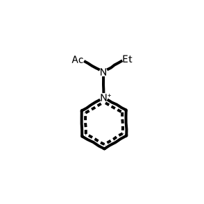 [CH2]CN(C(C)=O)[n+]1ccccc1